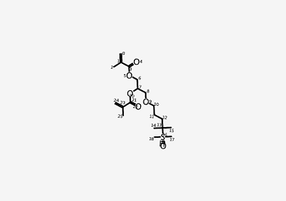 C=C(C)C(=O)OCC(COCCCC(C)(C)[SH](C)(C)=O)OC(=O)C(=C)C